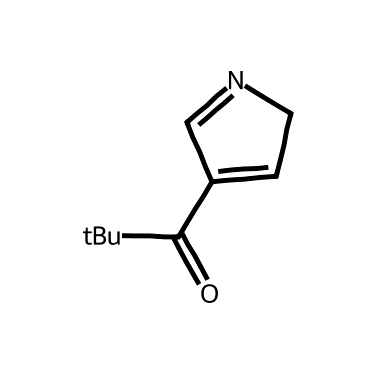 CC(C)(C)C(=O)C1=CCN=C1